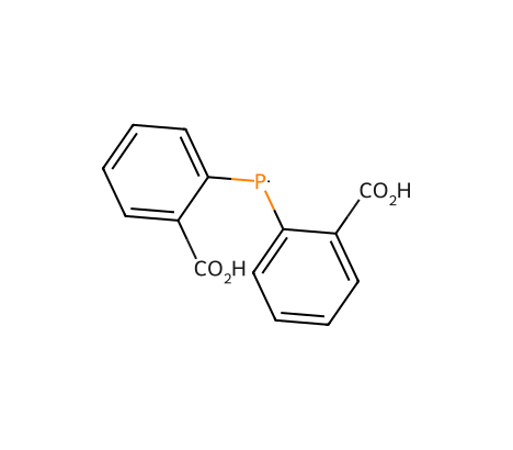 O=C(O)c1ccccc1[P]c1ccccc1C(=O)O